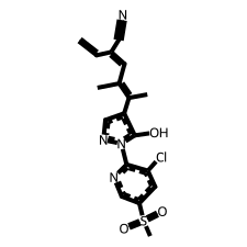 C=C/C(C#N)=C\C(C)=C(/C)c1cnn(-c2ncc(S(C)(=O)=O)cc2Cl)c1O